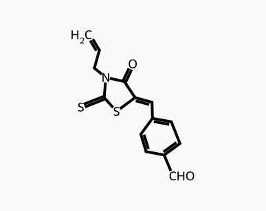 C=CCN1C(=O)/C(=C/c2ccc(C=O)cc2)SC1=S